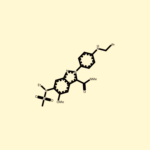 CCN(c1cc2nn(-c3ccc(NCC(C)C)cc3)c(C(=O)NC)c2cc1OC)S(C)(=O)=O